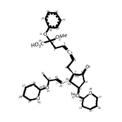 COC(CC=C=CC[C@H]1C(=O)CC([16O]C2CCCCO2)[C@@H]1/C=C/C(C)[16O]C1CCCCO1)(Oc1ccccc1)C(=O)O